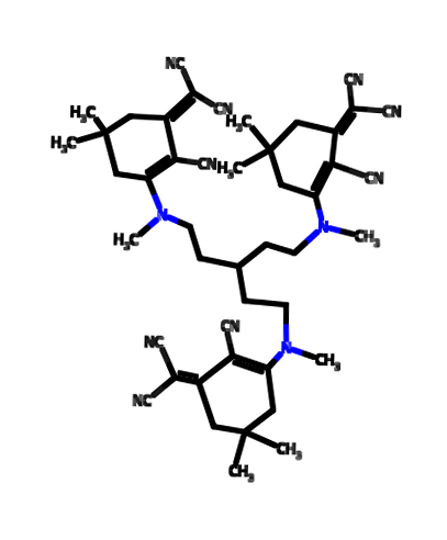 CN(CCC(CCN(C)C1=C(C#N)C(=C(C#N)C#N)CC(C)(C)C1)CCN(C)C1=C(C#N)C(=C(C#N)C#N)CC(C)(C)C1)C1=C(C#N)C(=C(C#N)C#N)CC(C)(C)C1